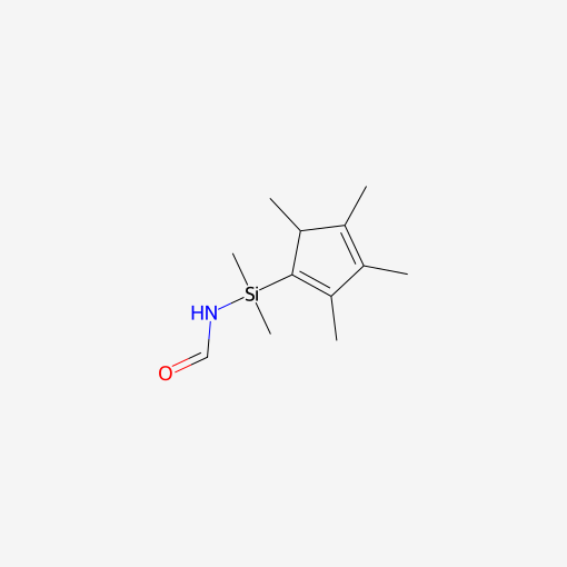 CC1=C(C)C(C)C([Si](C)(C)NC=O)=C1C